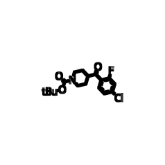 CC(C)(C)OC(=O)N1CCC(C(=O)c2ccc(Cl)cc2F)CC1